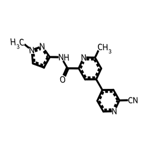 Cc1cc(-c2ccnc(C#N)c2)cc(C(=O)Nc2ccn(C)n2)n1